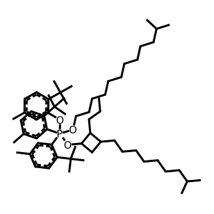 CCCC1C(CCCCCCCC(C)C)CC1OP(OCCCCCCCCCCC(C)C)(Oc1cc(C)ccc1C(C)(C)C)(c1cc(C)ccc1C(C)(C)C)c1cc(C)ccc1C(C)(C)C